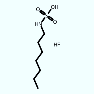 CCCCCCCNS(=O)(=O)O.F